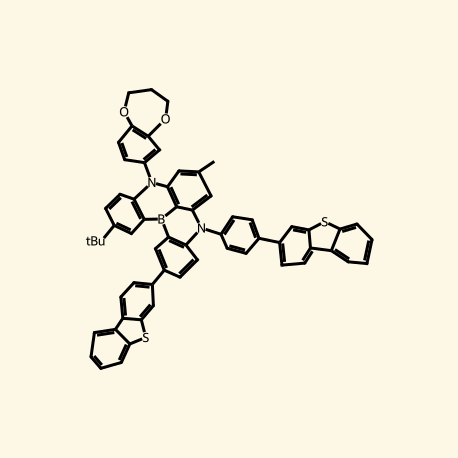 Cc1cc2c3c(c1)N(c1ccc4c(c1)OCCCO4)c1ccc(C(C)(C)C)cc1B3c1cc(-c3ccc4c(c3)sc3ccccc34)ccc1N2c1ccc(-c2ccc3c(c2)sc2ccccc23)cc1